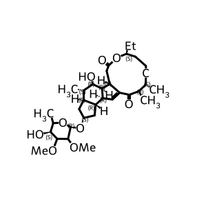 CC[C@H]1CCC[C@H](C)[C@@H](C)C(=O)C2=C[C@H]3[C@@H]4C[C@H](O[C@@H]5OC(C)[C@H](O)C(OC)C5OC)C[C@H]4[C@H](C)[C@@H](O)[C@H]3[C@@H]2CC(=O)O1